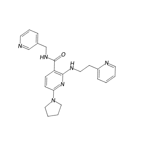 O=C(NCc1cccnc1)c1ccc(N2CCCC2)nc1NCCc1ccccn1